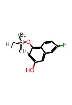 CC(C)(C)[Si](C)(C)Oc1cc(O)cc2cc(F)ccc12